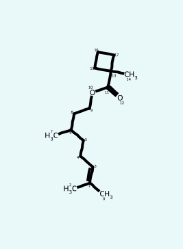 CC(C)=CCCC(C)CCOC(=O)C1(C)CCC1